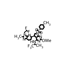 COc1nc(NC(C)C(F)(F)F)c2c(-c3ccc4nc(C)n(CC(F)F)c4n3)cn(S(=O)(=O)c3ccc(C)cc3)c2n1